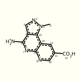 Cn1ncc2c(N)nc3ncc(C(=O)O)cc3c21